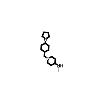 INC1CCN(CC2CCC(N3CCCC3)CC2)CC1